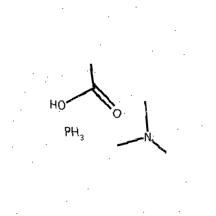 CC(=O)O.CN(C)C.P